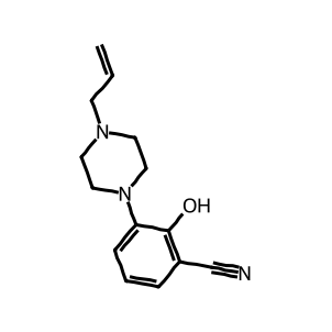 C=CCN1CCN(c2cccc(C#N)c2O)CC1